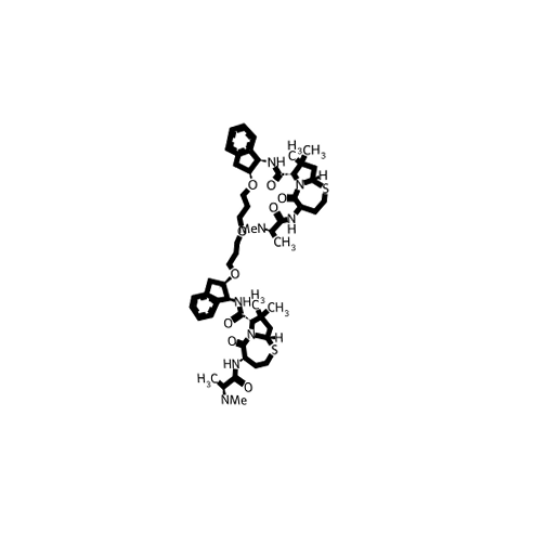 CN[C@@H](C)C(=O)NC1CCS[C@H]2CC(C)(C)[C@@H](C(=O)N[C@H]3c4ccccc4C[C@H]3OCCCOCCCO[C@@H]3Cc4ccccc4[C@@H]3NC(=O)[C@H]3N4C(=O)[C@@H](NC(=O)[C@H](C)NC)CCS[C@H]4CC3(C)C)N2C1=O